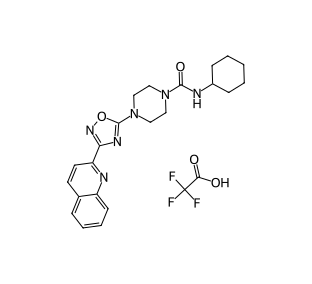 O=C(NC1CCCCC1)N1CCN(c2nc(-c3ccc4ccccc4n3)no2)CC1.O=C(O)C(F)(F)F